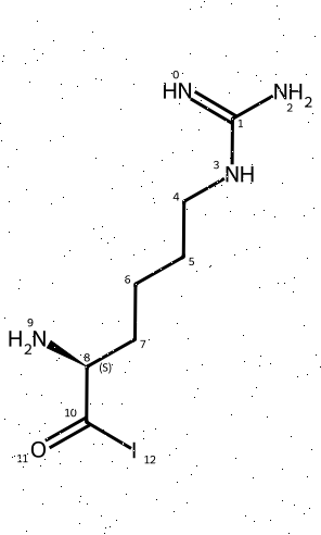 N=C(N)NCCCC[C@H](N)C(=O)I